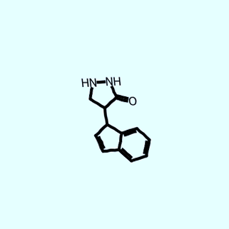 O=C1NNCC1C1C=Cc2ccccc21